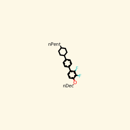 CCCCCCCCCCOc1ccc(-c2ccc(C3CCC(CCCCC)CC3)cc2)c(F)c1F